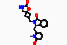 Cn1c(CC2c3ccccc3C(=O)N2CC2CC3(CNC(=O)O3)C2)cccc1=O